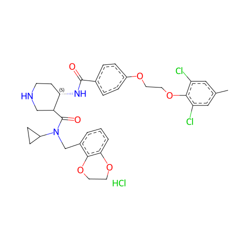 Cc1cc(Cl)c(OCCOc2ccc(C(=O)N[C@H]3CCNCC3C(=O)N(Cc3cccc4c3OCCO4)C3CC3)cc2)c(Cl)c1.Cl